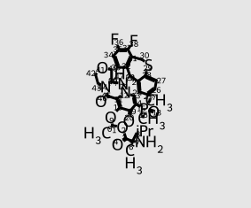 CC(OC(=O)C(C)(N)C(C)C)Oc1c2n(cc(P(C)(C)=O)c1=O)N([C@@H]1c3ccccc3SCc3c1ccc(F)c3F)[C@@H]1COCCN1C2=O